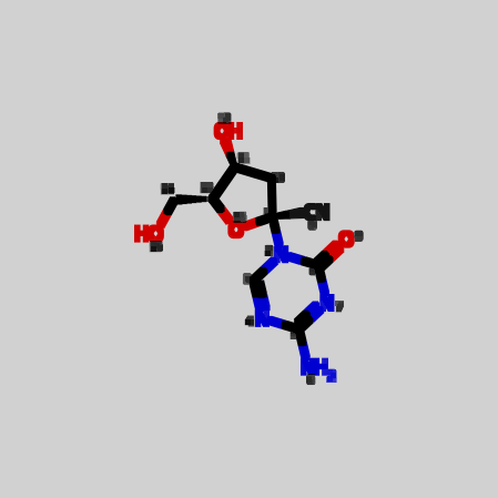 N#C[C@]1(n2cnc(N)nc2=O)C[C@H](O)[C@@H](CO)O1